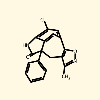 Cc1noc2c1CC1(c3ccccc3)C(=O)Nc3c(Cl)cc-2cc31